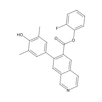 Cc1cc(-c2cc3cnccc3cc2C(=O)Oc2ccccc2F)cc(C)c1O